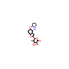 Cc1c(-c2cc3cc(OC4CCCN4)ccc3o2)oc(=O)c(C)c1O